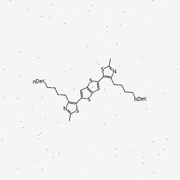 CCCCCCCCCCCCCCc1nc(C)sc1-c1cc2sc(-c3sc(C)nc3CCCCCCCCCCCCCC)cc2s1